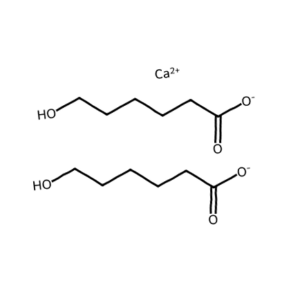 O=C([O-])CCCCCO.O=C([O-])CCCCCO.[Ca+2]